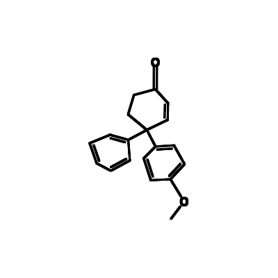 COc1ccc(C2(c3ccccc3)C=CC(=O)CC2)cc1